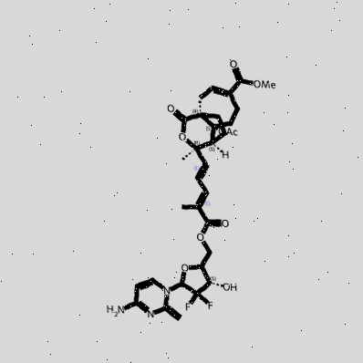 C=C1N=C(N)C=CN1C1OC(COC(=O)/C(C)=C/C=C/[C@@]2(C)OC(=O)[C@]34CC=C(C(=O)OC)CC[C@]3(OC(C)=O)[C@H]2CC4)[C@H](O)C1(F)F